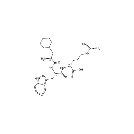 N=C(N)NCCC[C@@H](NC(=O)[C@H](Cc1c[nH]c2ccccc12)NC(=O)[C@@H](N)CC1CCCCC1)C(=O)O